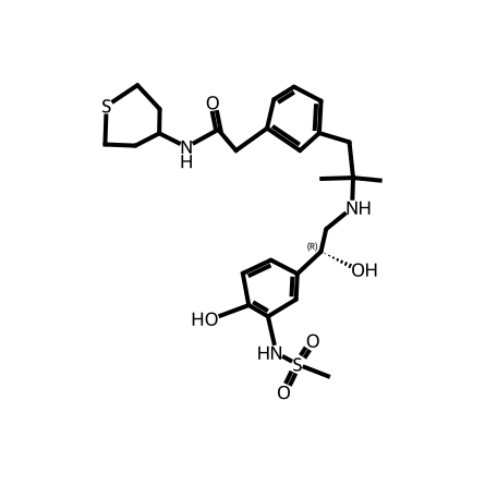 CC(C)(Cc1cccc(CC(=O)NC2CCSCC2)c1)NC[C@H](O)c1ccc(O)c(NS(C)(=O)=O)c1